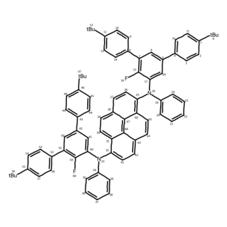 CC(C)(C)c1ccc(-c2cc(-c3ccc(C(C)(C)C)cc3)c(F)c(N(c3ccccc3)c3ccc4ccc5c(N(c6ccccc6)c6cc(-c7ccc(C(C)(C)C)cc7)cc(-c7ccc(C(C)(C)C)cc7)c6F)ccc6ccc3c4c65)c2)cc1